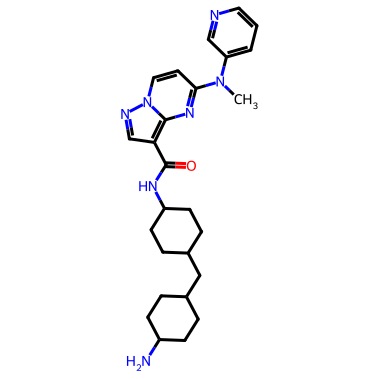 CN(c1cccnc1)c1ccn2ncc(C(=O)NC3CCC(CC4CCC(N)CC4)CC3)c2n1